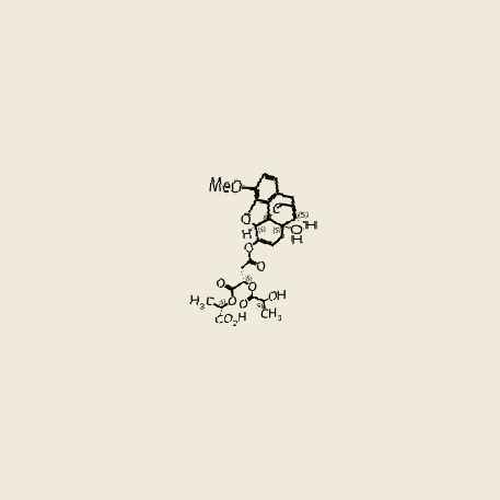 COc1ccc2c3c1O[C@@H]1C(OC(=O)C[C@H](OC(=O)[C@H](C)O)C(=O)O[C@@H](C)C(=O)O)=CC[C@]4(O)[C@@H](CCC[C@@]314)C2